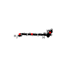 NC1CCN(CCOCCOCCOCCOCCOCCOCCOCCNC(=O)COc2cccc3c2C(=O)N(C2CCC(=O)NC2=O)C3=O)CC1